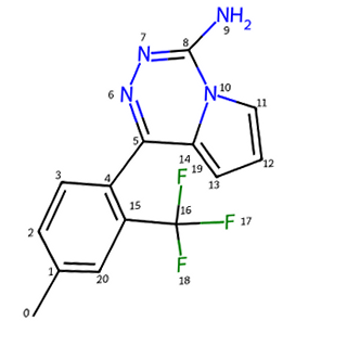 Cc1ccc(-c2nnc(N)n3cccc23)c(C(F)(F)F)c1